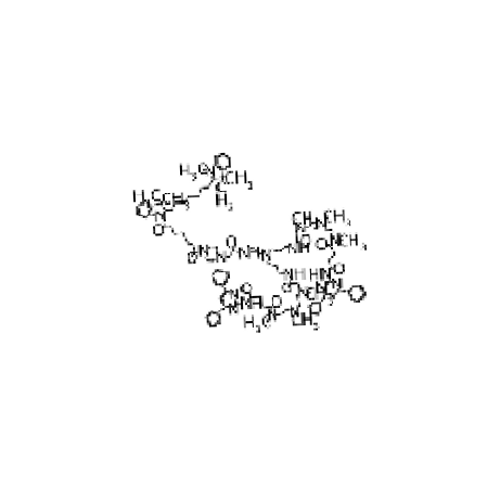 CN(CCN(C)CC(=O)NCCCN(CCCNC(=O)CN(C)CCN(C)CCN(C)C(=O)CCC(=O)Nc1nc(-c2ccccc2)cc(-c2ccccc2)n1)CCCNC(=O)CN1CCN(C(=O)CCCCCC(=O)N2/C(=C/C=C/C=C/C=C/C3=[N+](C)c4ccccc4C3(C)C)C(C)(C)c3ccccc32)CC1)CCN(C)C(=O)CCC(=O)Nc1nc(-c2ccccc2)cc(-c2ccccc2)n1